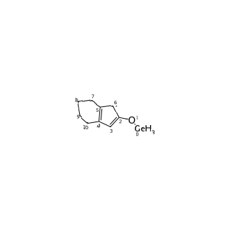 [GeH3][O]C1=CC2=C([CH]1)CCCC2